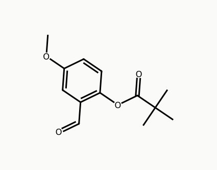 COc1ccc(OC(=O)C(C)(C)C)c(C=O)c1